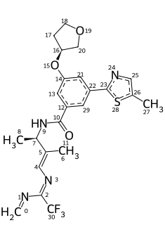 C=N/C(=N\C=C(/C)[C@@H](C)NC(=O)c1cc(O[C@H]2CCOC2)cc(-c2ncc(C)s2)c1)C(F)(F)F